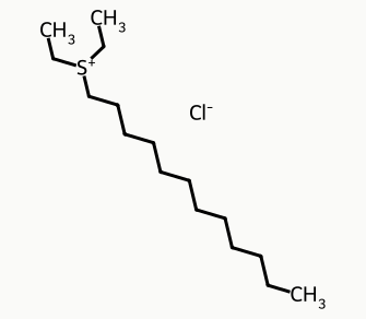 CCCCCCCCCCCC[S+](CC)CC.[Cl-]